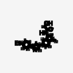 CCc1ccc(-n2cc(-c3ccc4c(c3)c(NC(=O)CO)cn4C)cn2)cc1